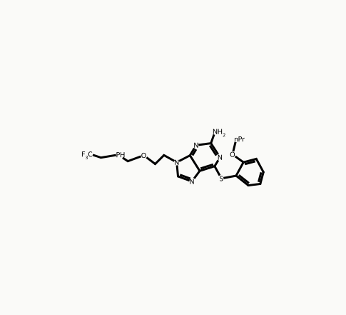 CCCOc1ccccc1Sc1nc(N)nc2c1ncn2CCOCPCC(F)(F)F